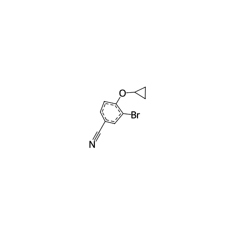 N#Cc1ccc(OC2CC2)c(Br)c1